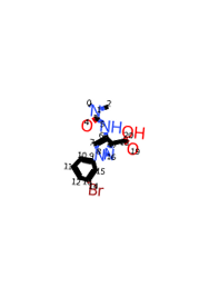 CN(C)C(=O)Nc1cn(-c2cccc(Br)c2)nc1C(=O)O